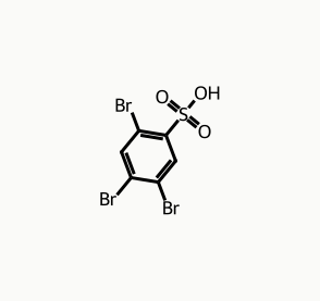 O=S(=O)(O)c1cc(Br)c(Br)cc1Br